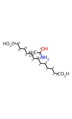 CC(N)O.O=C(O)CCCCCCCCCCCCC(=O)O